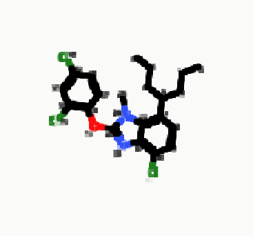 CCCC(CCC)c1ccc(Cl)c2nc(Oc3ccc(Cl)cc3Cl)n(C)c12